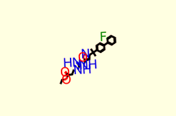 CCOC(=O)CCNC(=N)Nc1cc(C(C)(C)c2ccc(-c3ccccc3F)cc2)no1